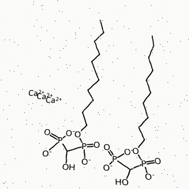 CCCCCCCCCCOP(=O)([O-])C(O)P(=O)([O-])[O-].CCCCCCCCCCOP(=O)([O-])C(O)P(=O)([O-])[O-].[Ca+2].[Ca+2].[Ca+2]